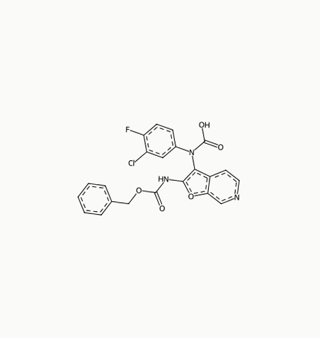 O=C(Nc1oc2cnccc2c1N(C(=O)O)c1ccc(F)c(Cl)c1)OCc1ccccc1